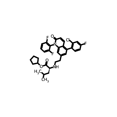 CC(C)C[C@H](NCCc1cc(-c2ccc(F)cc2Cl)c2ccc(=O)n(-c3c(F)cccc3F)c2c1)C(=O)OC1CCCC1